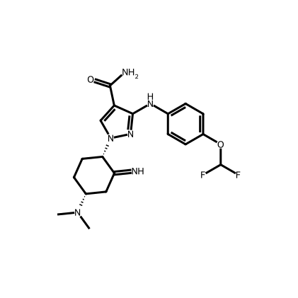 CN(C)[C@@H]1CC[C@H](n2cc(C(N)=O)c(Nc3ccc(OC(F)F)cc3)n2)C(=N)C1